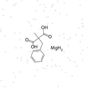 CC(Cc1ccccc1)(C(=O)O)C(=O)O.[MgH2]